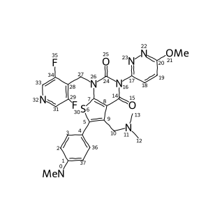 CNc1ccc(-c2sc3c(c2CN(C)C)c(=O)n(-c2ccc(OC)nn2)c(=O)n3Cc2c(F)cncc2F)cc1